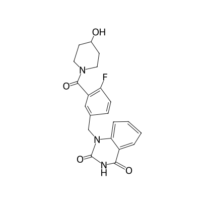 O=C(c1cc(Cn2c(=O)[nH]c(=O)c3ccccc32)ccc1F)N1CCC(O)CC1